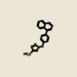 O=C(O)c1cn(Oc2ccc(-c3cncc4ccccc34)cc2)nn1